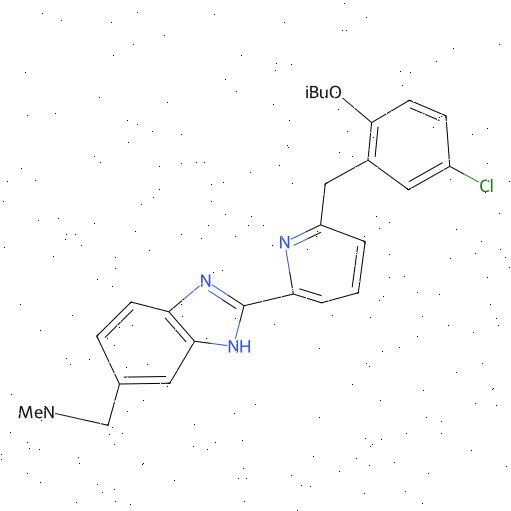 CNCc1ccc2nc(-c3cccc(Cc4cc(Cl)ccc4OCC(C)C)n3)[nH]c2c1